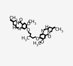 CC=C1C[C@H]2C=Nc3cc(OCCC(C)CCOc4cc5c(cc4OC)C(=O)N4CC(=CC)C[C@H]4C=N5)c(OC)cc3C(=O)N2C1